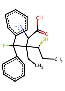 CC[C@H](S)C(CC)(C(N)C(=O)O)C(F)(c1ccccc1)c1ccccc1